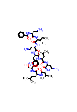 CC[C@H](C)[C@H](NC(=O)[C@H](CCN)NC(=O)c1ccccc1)C(=O)N[C@@H](CCN)C(=O)N[C@H](Cc1ccccc1)C(=O)N[C@@H](CC(C)C)C(=O)N[C@@H](CCN)C(=O)N[C@@H](C(=O)N[C@@H](CCC(C)C)C(=O)N[C@@H](CO)C(N)=O)C(C)C